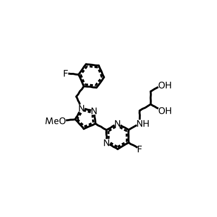 COc1cc(-c2ncc(F)c(NCC(O)CO)n2)nn1Cc1ccccc1F